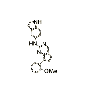 COc1ccccc1-c1ccc2cnc(Nc3ccc4[nH]ccc4c3)nn12